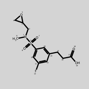 CN(CC1CO1)S(=O)(=O)c1cc(F)cc(CCC(=O)O)c1